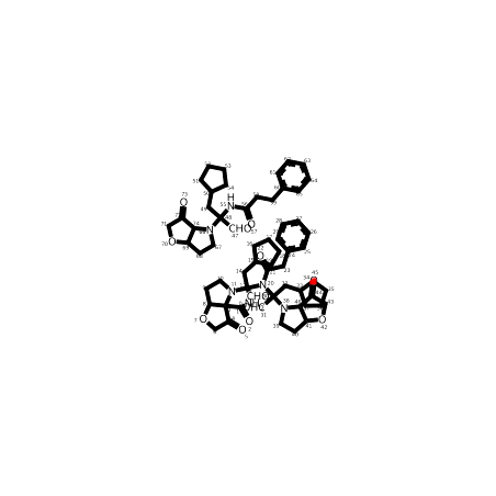 NC(=O)C12C(=O)COC1CCN2C(C=O)(CC1CCCC1)N(C(=O)Cc1ccccc1)C(C=O)(CC1CCCC1)N1CCC2OCC(=O)C21.O=CC(CC1CCCC1)(NC(=O)CCc1ccccc1)N1CCC2OCC(=O)C21